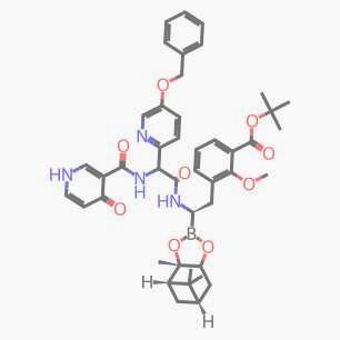 COc1c(C[C@H](NC(=O)C(NC(=O)c2c[nH]ccc2=O)c2ccc(OCc3ccccc3)cn2)B2OC3C[C@@H]4C[C@@H](C4(C)C)[C@]3(C)O2)cccc1C(=O)OC(C)(C)C